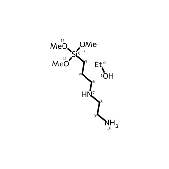 CCO.CO[Si](CCCNCCN)(OC)OC